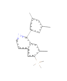 Cc1cc(C)cc(-c2nccc3cc(S(C)(C)C)c(C)cc23)c1